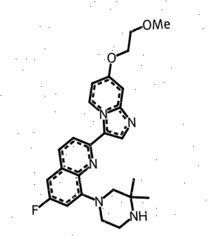 COCCOc1ccn2c(-c3ccc4cc(F)cc(N5CCNC(C)(C)C5)c4n3)cnc2c1